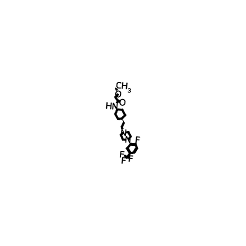 CCOCC(=O)N[C@H]1CC[C@H](CCN2CCN(c3cc(C(F)(F)F)ccc3F)CC2)CC1